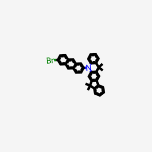 CC1(C)c2ccccc2-c2cc3c(cc21)N(c1ccc2cc4cc(Br)ccc4cc2c1)c1ccccc1C3(C)C